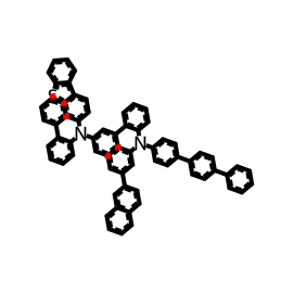 c1ccc(-c2ccc(-c3ccc(N(c4cccc(-c5ccc6ccccc6c5)c4)c4ccccc4-c4cccc(N(c5ccc6c(c5)sc5ccccc56)c5ccccc5-c5ccccc5)c4)cc3)cc2)cc1